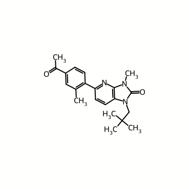 CC(=O)c1ccc(-c2ccc3c(n2)n(C)c(=O)n3CC(C)(C)C)c(C)c1